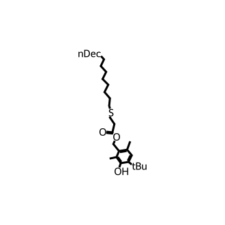 CCCCCCCCCCCCCCCCCCSCCC(=O)OCc1c(C)cc(C(C)(C)C)c(O)c1C